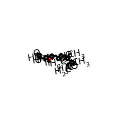 C=N/C=C\c1c(-c2cc(OC)c(CN3CCc4c(CC5CCN(c6ccc(NC7CCC(=O)NC7=O)cc6C(F)(F)F)CC5)cccc4C3)c(OC)c2)cn(C)c(=O)c1C